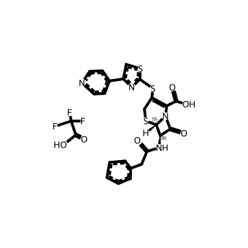 O=C(Cc1ccccc1)N[C@@H]1C(=O)N2C(C(=O)O)=C(Sc3nc(-c4ccncc4)cs3)CS[C@@H]12.O=C(O)C(F)(F)F